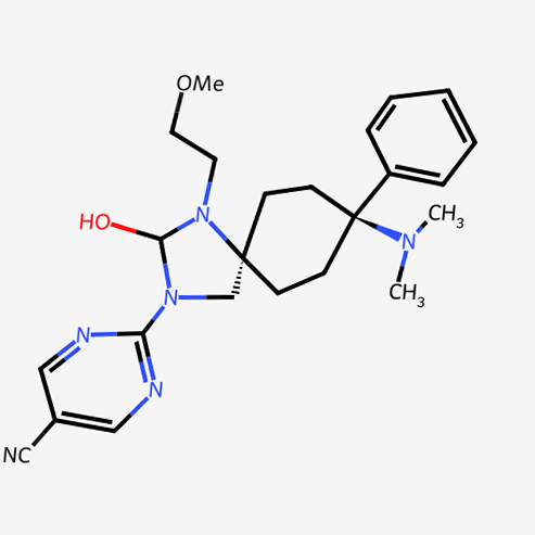 COCCN1C(O)N(c2ncc(C#N)cn2)C[C@]12CC[C@](c1ccccc1)(N(C)C)CC2